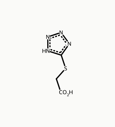 O=C(O)CSc1nnn[nH]1